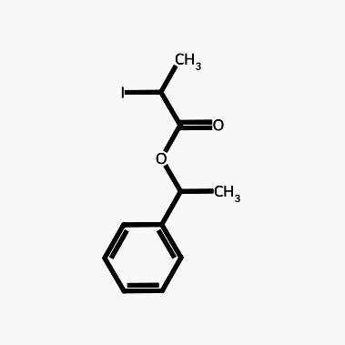 CC(I)C(=O)OC(C)c1ccccc1